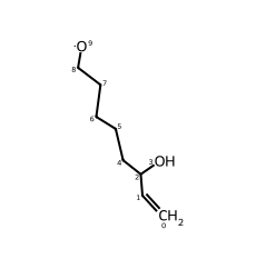 C=CC(O)CCCCC[O]